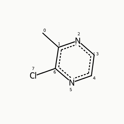 Cc1n[c]cnc1Cl